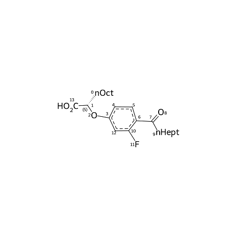 CCCCCCCC[C@H](Oc1ccc(C(=O)CCCCCCC)c(F)c1)C(=O)O